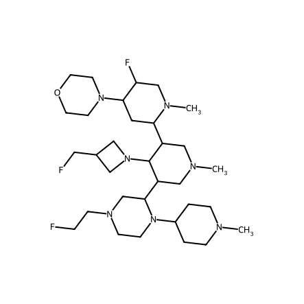 CN1CCC(N2CCN(CCF)CC2C2CN(C)CC(C3CC(N4CCOCC4)C(F)CN3C)C2N2CC(CF)C2)CC1